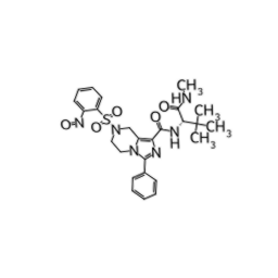 CNC(=O)[C@@H](NC(=O)c1nc(-c2ccccc2)n2c1CN(S(=O)(=O)c1ccccc1N=O)CC2)C(C)(C)C